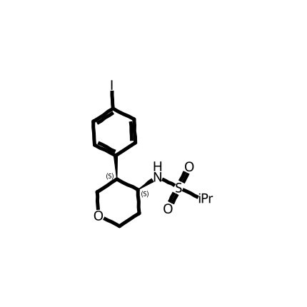 CC(C)S(=O)(=O)N[C@H]1CCOC[C@H]1c1ccc(I)cc1